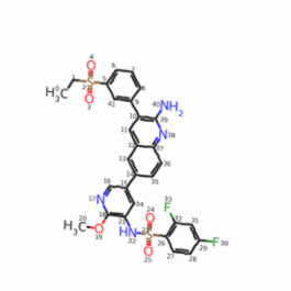 CCS(=O)(=O)c1cccc(-c2cc3cc(-c4cnc(OC)c(NS(=O)(=O)c5ccc(F)cc5F)c4)ccc3nc2N)c1